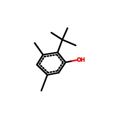 Cc1cc(C)c(C(C)(C)C)c(O)c1